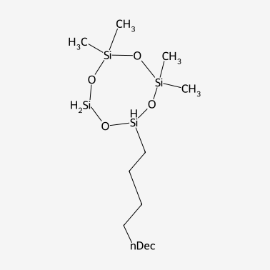 CCCCCCCCCCCCCC[SiH]1O[SiH2]O[Si](C)(C)O[Si](C)(C)O1